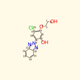 OCCOc1cc(O)c(-n2nc3ccccc3n2)cc1Cl